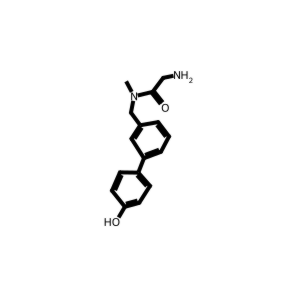 CN(Cc1cccc(-c2ccc(O)cc2)c1)C(=O)CN